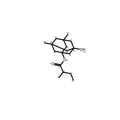 CCC(C)C(=O)OC12CC3(C)CC(C)(CC(O)(C3)C1)C2